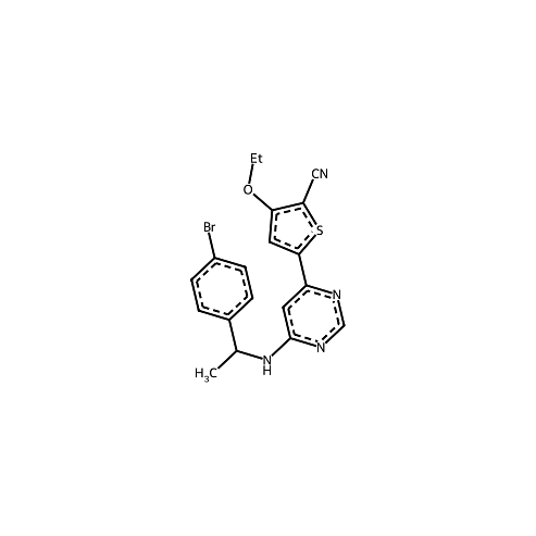 CCOc1cc(-c2cc(NC(C)c3ccc(Br)cc3)ncn2)sc1C#N